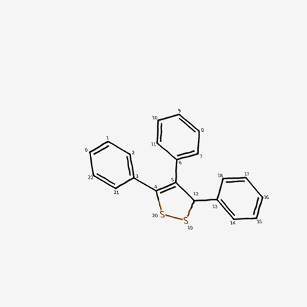 c1ccc(C2=C(c3ccccc3)C(c3ccccc3)SS2)cc1